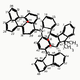 CC1(C)c2ccccc2-c2c(-c3ccccc3N(c3ccc(-c4cccc5cccc(-c6ccccc6)c45)cc3)c3ccc(-n4c5ccccc5c5ccccc54)cc3)cccc21